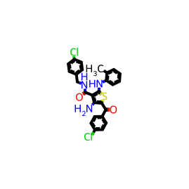 Cc1ccccc1Nc1sc(C(=O)c2ccc(Cl)cc2)c(N)c1C(=O)NCc1ccc(Cl)cc1